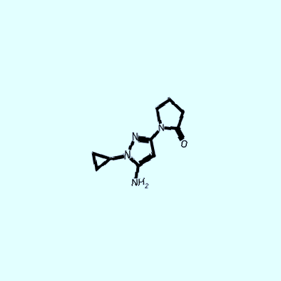 Nc1cc(N2CCCC2=O)nn1C1CC1